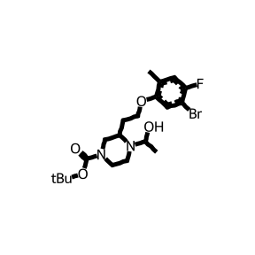 Cc1cc(F)c(Br)cc1OCCC1CN(C(=O)OC(C)(C)C)CCN1C(C)O